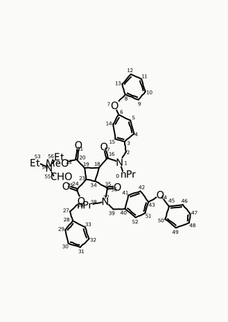 CCCN(Cc1ccc(Oc2ccccc2)cc1)C(=O)C1C(C(=O)OC)C(C(=O)OCc2ccccc2)C1C(=O)N(CCC)Cc1ccc(Oc2ccccc2)cc1.CCN(C=O)CC